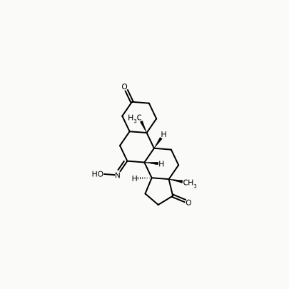 C[C@]12CCC(=O)CC1C/C(=N\O)[C@@H]1[C@H]2CC[C@]2(C)C(=O)CC[C@@H]12